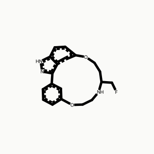 FCC1CCOc2ccc3[nH]nc(c3c2)-c2cccc(c2)OCCN1